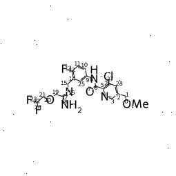 COCc1cnc(C(=O)Nc2ccc(F)c(C/N=C(/N)COCC(F)F)c2)c(Cl)c1